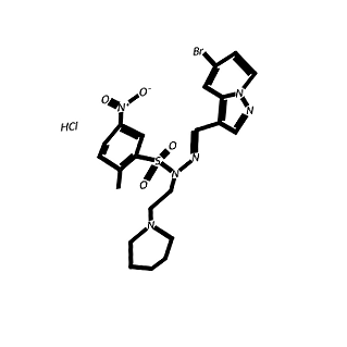 Cc1ccc([N+](=O)[O-])cc1S(=O)(=O)N(CCN1CCCCC1)N=Cc1cnn2ccc(Br)cc12.Cl